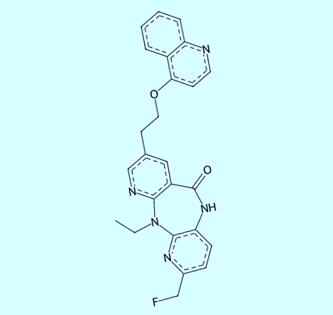 CCN1c2nc(CF)ccc2NC(=O)c2cc(CCOc3ccnc4ccccc34)cnc21